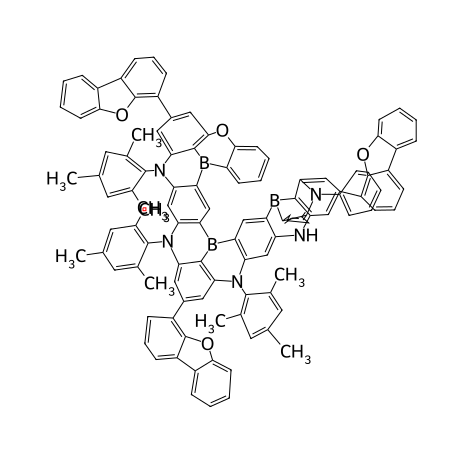 Cc1cc(C)c(N2c3cc4c(cc3B3c5ccccc5Oc5cc(-c6cccc7c6oc6ccccc67)cc2c53)B2c3cc5c(cc3N(c3c(C)cc(C)cc3C)c3cc(-c6cccc7c6oc6ccccc67)cc(c32)N4c2c(C)cc(C)cc2C)Nc2cc(-c3cccc4c3oc3ccccc34)cc3c2B5c2ccccc2N3c2ccccc2)c(C)c1